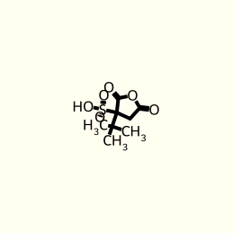 CC(C)(C)C1(S(=O)(=O)O)CC(=O)OC1=O